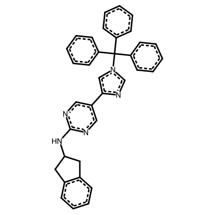 c1ccc(C(c2ccccc2)(c2ccccc2)n2cnc(-c3cnc(NC4Cc5ccccc5C4)nc3)c2)cc1